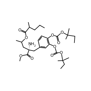 CCCC(C)C(=O)OC(C)C[C@@](N)(Cc1ccc(OC(=O)OC(C)(C)CC)c(OC(=O)OC(C)(C)CC)c1)C(=O)OC